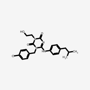 CC(C)Cc1ccc(Nc2nc(=O)n(CCO)c(=O)n2Cc2ccc(Cl)cc2)cc1